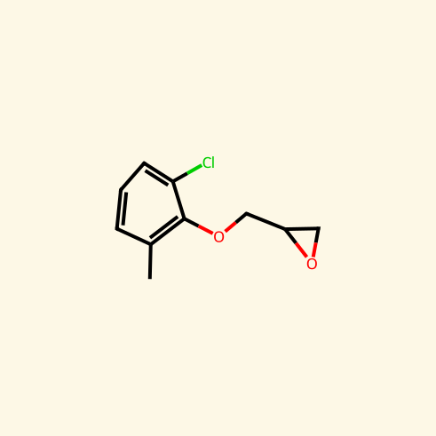 Cc1cccc(Cl)c1OCC1CO1